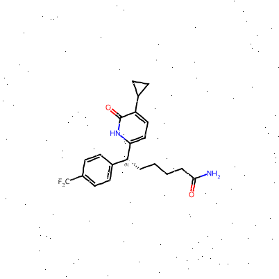 NC(=O)CCCC[C@H](c1ccc(C(F)(F)F)cc1)c1ccc(C2CC2)c(=O)[nH]1